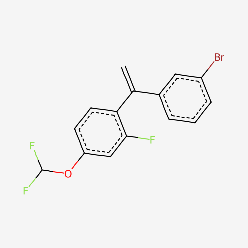 C=C(c1cccc(Br)c1)c1ccc(OC(F)F)cc1F